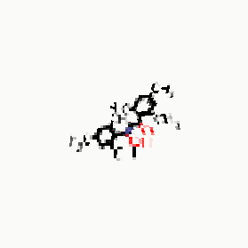 Cc1cc(C)c(C(=O)/C=C(\O)c2c(C)cc(C)cc2C)c(C)c1